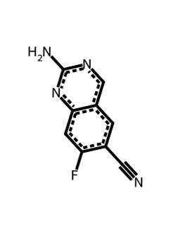 N#Cc1cc2cnc(N)nc2cc1F